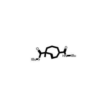 CC(C)(C)NC(=O)C1C/C=C/C(C)(C(=O)SC(C)(C)C)CCC1